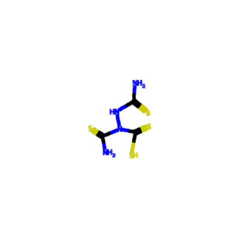 NC(=S)NN(C(N)=S)C(=S)S